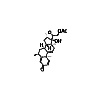 CC(=O)OCC(=O)[C@@]1(O)[C@@H](C)C[C@H]2[C@@H]3C[C@H](C)C4=CC(=O)C=C[C@]4(C)C3=CC[C@@]21C